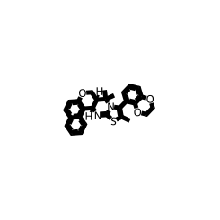 CC1=C(c2cccc3c2OCCO3)N2C(=N[C@@H]3c4c(ccc5ccccc45)OC[C@@H]3C2(C)C)S1